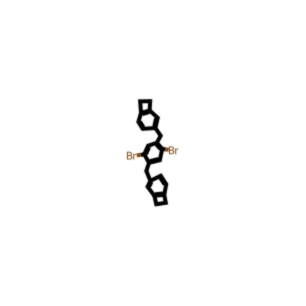 Brc1cc(Cc2ccc3c(c2)CC3)c(Br)cc1Cc1ccc2c(c1)CC2